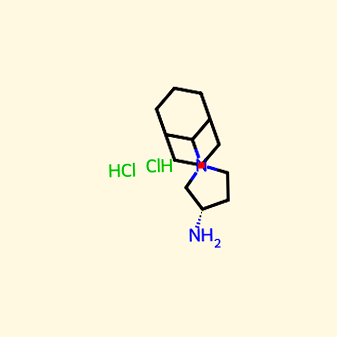 Cl.Cl.N[C@H]1CCN(C2C3CCCC2CCC3)C1